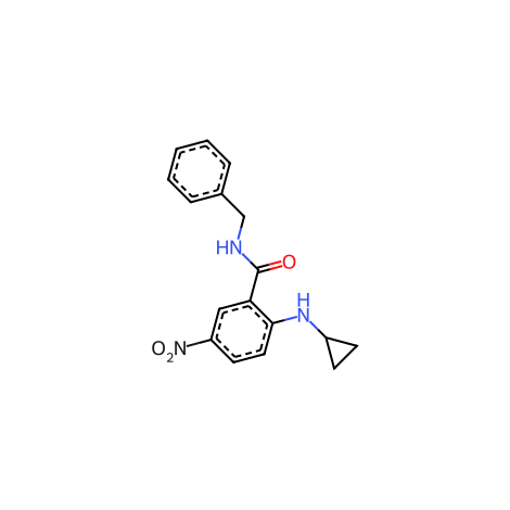 O=C(NCc1ccccc1)c1cc([N+](=O)[O-])ccc1NC1CC1